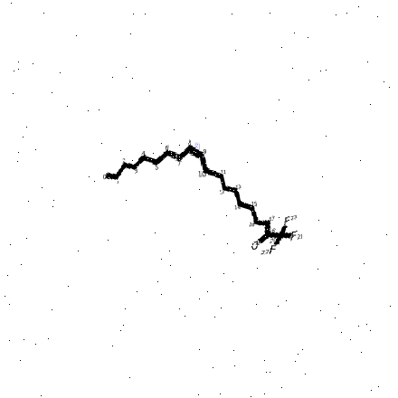 CCCCCCCC/C=C\CCCCCCCCC(=O)C(F)(F)F